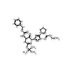 CCOC(=O)[C@H]1CCCN1c1nnn(CC(=O)C(CC(=O)OC(C)(C)C)NC(=O)OCc2ccccc2)n1